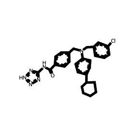 O=C(Nc1nn[nH]n1)c1ccc(CN(Cc2cccc(Cl)c2)c2ccc(C3CCCCC3)cc2)cc1